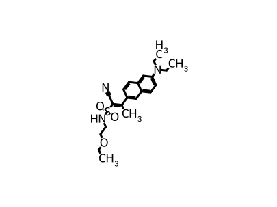 CCOCCNS(=O)(=O)/C(C#N)=C(\C)c1ccc2cc(N(CC)CC)ccc2c1